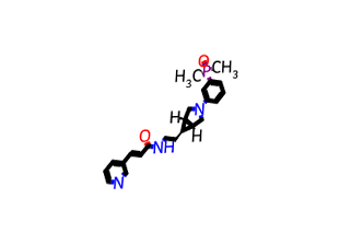 CP(C)(=O)c1cccc(N2C[C@@H]3[C@@H](CCNC(=O)/C=C/c4cccnc4)[C@@H]3C2)c1